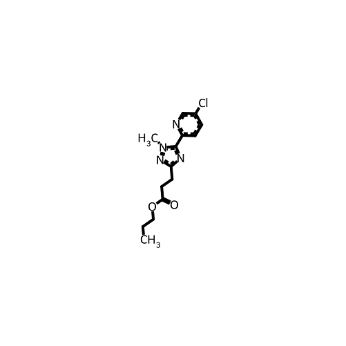 CCCOC(=O)CCc1nc(-c2ccc(Cl)cn2)n(C)n1